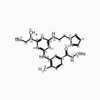 CONC(=O)c1ccc(C)c(Nc2nc(NCCn3cccn3)nc(N(C)CC(C)(C)C)n2)c1